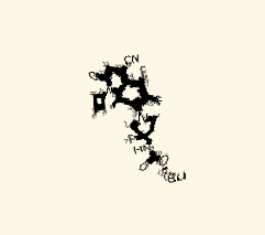 Cc1c(N2CCC(F)(CNC(=O)OC(C)(C)C)C2)c(F)c(F)c2c(C#N)cc(=O)n(C3CCC3)c12